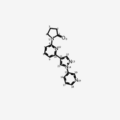 O=C1CCCN1c1cccc(-c2cnn(-c3cccnc3)c2)n1